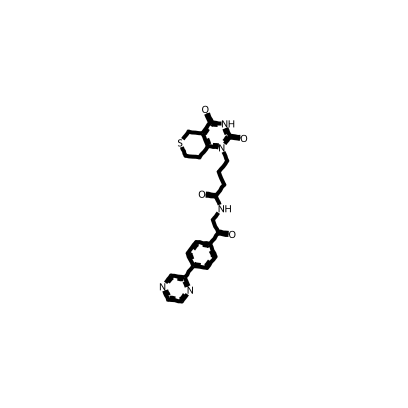 O=C(CCCn1c2c(c(=O)[nH]c1=O)CSCC2)NCC(=O)c1ccc(-c2cnccn2)cc1